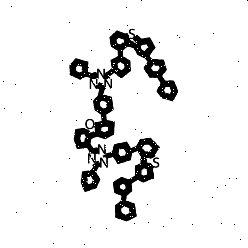 c1ccc(-c2ccc(-c3ccc4sc5cccc(-c6cccc(-c7nc(-c8ccccc8)nc(-c8ccc(-c9cccc%10c9oc9cccc(-c%11nc(-c%12ccccc%12)nc(-c%12ccc(-c%13cccc%14sc%15ccc(-c%16cccc(-c%17ccccc%17)c%16)cc%15c%13%14)cc%12)n%11)c9%10)cc8)n7)c6)c5c4c3)cc2)cc1